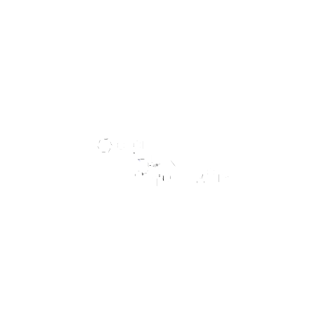 CC(C)OC(=O)CCCC1=CC[C@@H]2[C@@H](/C=C/[C@@H](O)COc3ccccc3)[C@H](O)C[C@H]2OC1